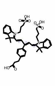 CC1(C)C(/C=C/C(=C/C=C2\N(CCCS(=O)(=O)O)c3ccccc3C2(C)C)c2ccc(CCC(=O)O)cc2)=[N+](CCCS(=O)(=O)O)c2ccccc21